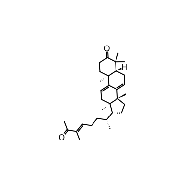 CC(=O)/C(C)=C/CC[C@@H](C)[C@H]1CC[C@@]2(C)C3=CC[C@H]4C(C)(C)C(=O)CC[C@]4(C)C3=CC[C@]12C